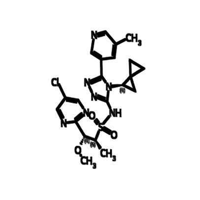 CO[C@H](c1ncc(Cl)cn1)[C@H](C)S(=O)(=O)Nc1nnc(-c2cncc(C)c2)n1[C@@H]1CC12CC2